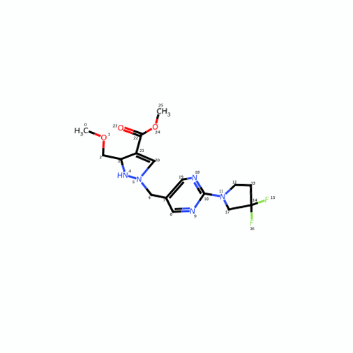 COCC1NN(Cc2cnc(N3CCC(F)(F)C3)nc2)C=C1C(=O)OC